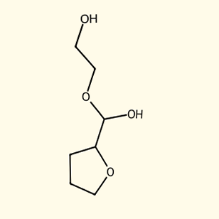 OCCOC(O)C1CCCO1